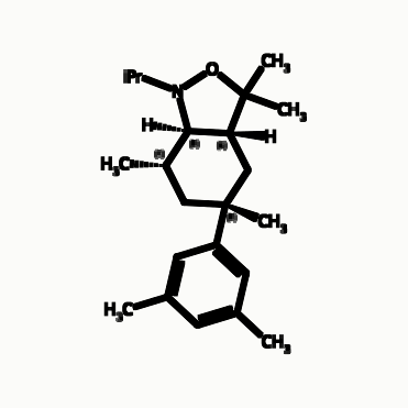 Cc1cc(C)cc([C@@]2(C)C[C@@H]3[C@@H]([C@@H](C)C2)N(C(C)C)OC3(C)C)c1